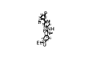 CCC(=O)N1CCC(N(C)C(=O)Nc2cnc(-c3cc(F)ccc3F)cn2)CC1